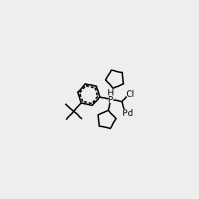 CC(C)(C)c1cccc([PH]([CH](Cl)[Pd])(C2CCCC2)C2CCCC2)c1